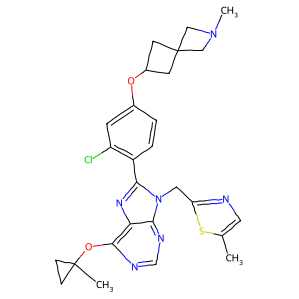 Cc1cnc(Cn2c(-c3ccc(OC4CC5(C4)CN(C)C5)cc3Cl)nc3c(OC4(C)CC4)ncnc32)s1